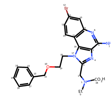 CCN(Cc1nc2c(N)nc3cc(Br)ccc3c2n1CCOCc1ccccc1)C(=O)O